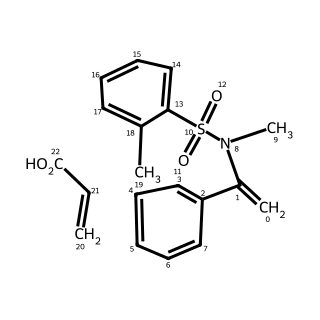 C=C(c1ccccc1)N(C)S(=O)(=O)c1ccccc1C.C=CC(=O)O